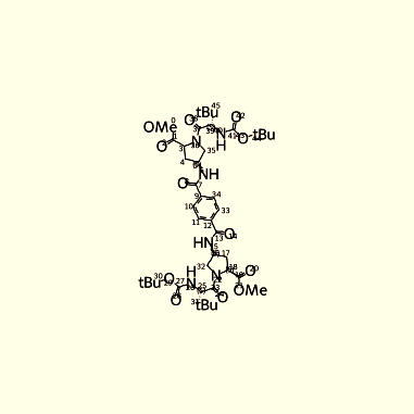 COC(=O)C1C[C@H](NC(=O)c2ccc(C(=O)N[C@H]3C[C@@H](C(=O)OC)N(C(=O)[C@@H](NC(=O)OC(C)(C)C)C(C)(C)C)C3)cc2)CN1C(=O)[C@@H](NC(=O)OC(C)(C)C)C(C)(C)C